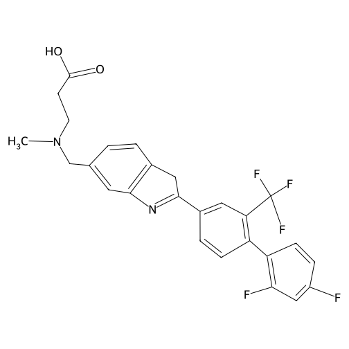 CN(CCC(=O)O)Cc1ccc2c(c1)N=C(c1ccc(-c3ccc(F)cc3F)c(C(F)(F)F)c1)C2